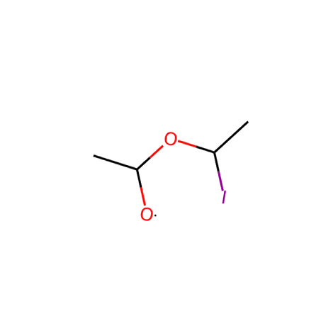 CC([O])OC(C)I